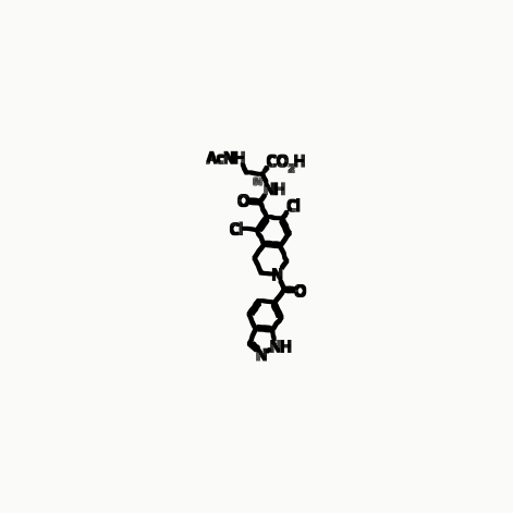 CC(=O)NC[C@H](NC(=O)c1c(Cl)cc2c(c1Cl)CCN(C(=O)c1ccc3cn[nH]c3c1)C2)C(=O)O